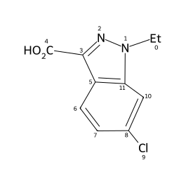 CCn1nc(C(=O)O)c2ccc(Cl)cc21